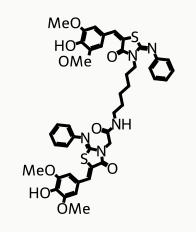 COc1cc(C=C2SC(=Nc3ccccc3)N(CCCCCCNC(=O)CN3C(=O)C(=Cc4cc(OC)c(O)c(OC)c4)SC3=Nc3ccccc3)C2=O)cc(OC)c1O